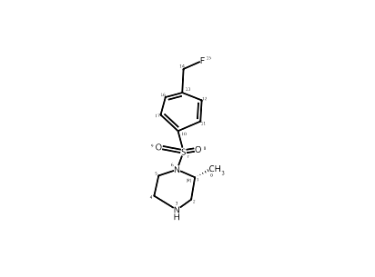 C[C@@H]1CNCCN1S(=O)(=O)c1ccc(CF)cc1